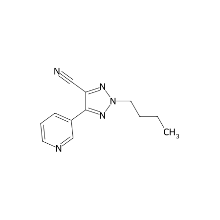 CCCCn1nc(C#N)c(-c2cccnc2)n1